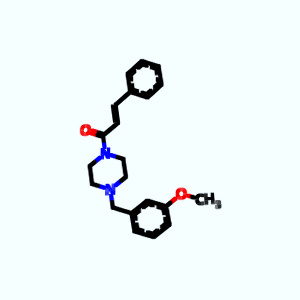 COc1cccc(CN2CCN(C(=O)/C=C/c3ccccc3)CC2)c1